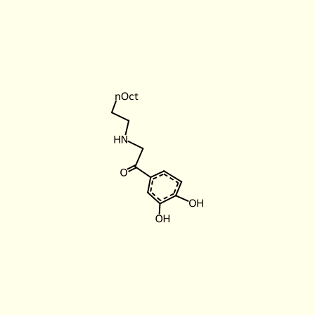 CCCCCCCCCCNCC(=O)c1ccc(O)c(O)c1